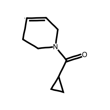 O=C(C1CC1)N1CC=[C]CC1